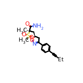 CCC#Cc1ccc(C2=NO[C@@H](C[C@](C)(C(N)=O)S(C)(=O)=O)C2)cc1